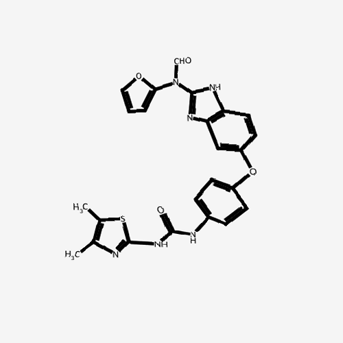 Cc1nc(NC(=O)Nc2ccc(Oc3ccc4[nH]c(N(C=O)c5ccco5)nc4c3)cc2)sc1C